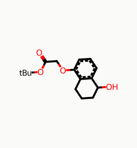 CC(C)(C)OC(=O)COc1cccc2c1CCCC2O